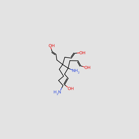 NCCCCC(CC=CO)(CC=CO)C(N)(CC=CO)CC=CO